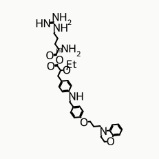 CCOC(Cc1ccc(NCc2ccc(OCCCN3CCOc4ccccc43)cc2)cc1)C(=O)OC(=O)[C@@H](N)CCCNC(=N)N